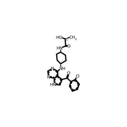 C[C@H](O)C(=O)N[C@H]1CC[C@@H](Nc2ncnc3[nH]cc(C(=O)c4ccccc4Cl)c23)CC1